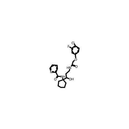 O=C(COc1ccc(Cl)c(F)c1)NCCC(O)C1(NC(=O)c2ccccn2)CCCCC1